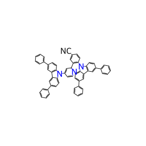 N#Cc1ccc(-n2c3ccc(-c4ccccc4)cc3c3cc(-c4ccccc4)ccc32)c(-c2cc(-n3c4ccc(-c5ccccc5)cc4c4cc(-c5ccccc5)ccc43)ccn2)c1